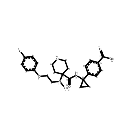 CN(CCOc1ccc(F)cc1)C1(C(=O)NC2(c3ccc(C(=O)O)cc3)CC2)CCOCC1